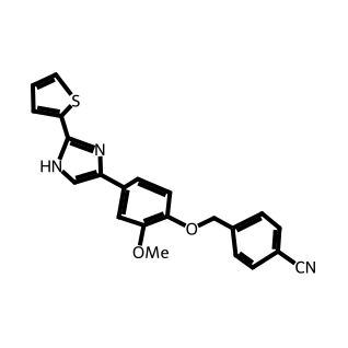 COc1cc(-c2c[nH]c(-c3cccs3)n2)ccc1OCc1ccc(C#N)cc1